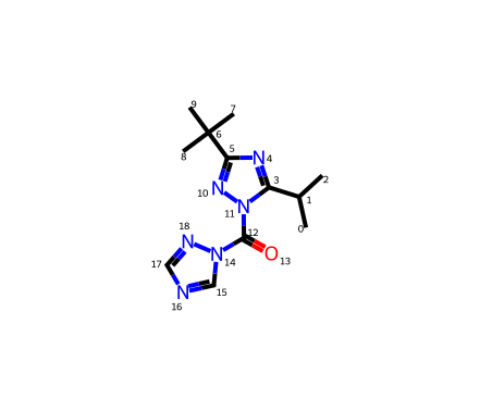 CC(C)c1nc(C(C)(C)C)nn1C(=O)n1cncn1